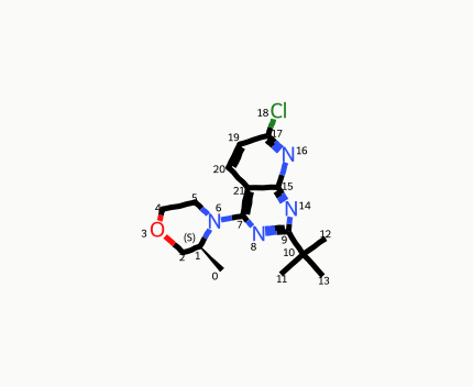 C[C@H]1COCCN1c1nc(C(C)(C)C)nc2nc(Cl)ccc12